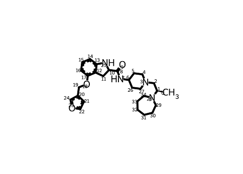 C[C@H](CN1CCC(NC(=O)C2Cc3c(cccc3OCc3ccoc3)N2)CC1)N1CCCCCC1